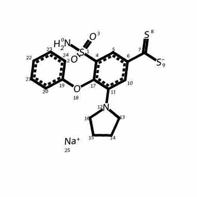 NS(=O)(=O)c1cc(C(=S)[S-])cc(N2CCCC2)c1Oc1ccccc1.[Na+]